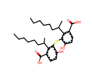 CCCCCCC(C)c1c(C(=O)O)ccc(O)c1Sc1c(O)ccc(C(=O)O)c1C(C)CCCCCC